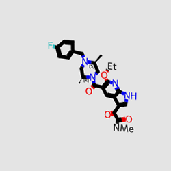 CCOc1nc2[nH]cc(C(=O)C(=O)NC)c2cc1C(=O)N1C[C@H](C)N(Cc2ccc(F)cc2)C[C@H]1C